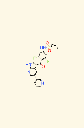 CS(=O)(=O)Nc1cc(F)c(C(=O)c2c[nH]c3ncc(-c4cccnc4)cc23)c(F)c1